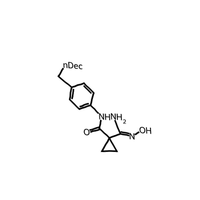 CCCCCCCCCCCc1ccc(NC(=O)C2(/C(N)=N/O)CC2)cc1